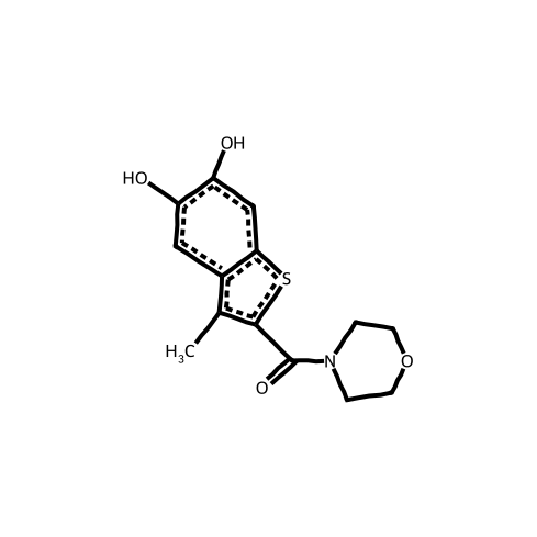 Cc1c(C(=O)N2CCOCC2)sc2cc(O)c(O)cc12